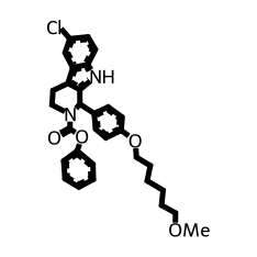 COCCCCCCOc1ccc(C2c3[nH]c4ccc(Cl)cc4c3CCN2C(=O)Oc2ccccc2)cc1